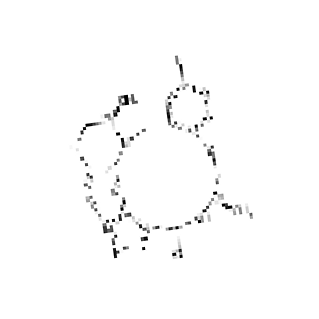 C[C@@H]1COc2ccc(F)cc2CN2c3nc4c(cnn4cc3OC[C@H]2C)C(=O)N1